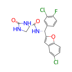 O=C1NC[C@@H](C(=O)N[C@H](c2ccc(F)c(Cl)c2)c2cc3cc(Cl)ccc3o2)N1